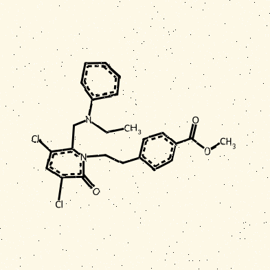 CCN(Cc1c(Cl)cc(Cl)c(=O)n1CCc1ccc(C(=O)OC)cc1)c1ccccc1